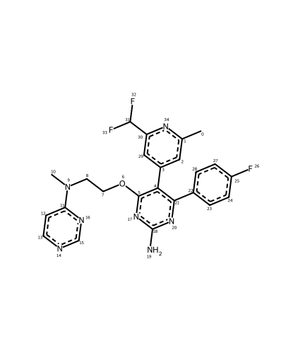 Cc1cc(-c2c(OCCN(C)c3ccncn3)nc(N)nc2-c2ccc(F)cc2)cc(C(F)F)n1